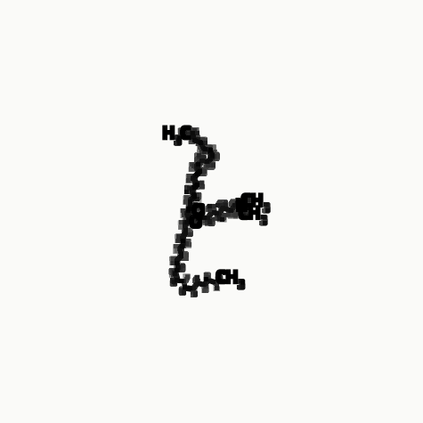 CCCCC/C=C\C/C=C\CCCCCCCCC(CCCCCCCC/C=C\C/C=C\CCCCC)OC(=O)CCCCCCN(C)C